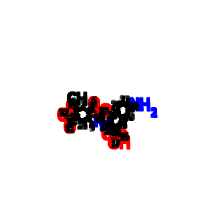 COC1=CC(=S(=O)=O)C(CN=Nc2c(S(=O)(=O)O)cc3cc(N)ccc3c2O)=CC1=S(=O)=O